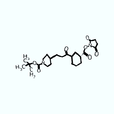 CC(C)(C)OC(=O)N1CCC(CCC(=O)C2CCC[C@@H](C(=O)ON3C(=O)CCC3=O)C2)CC1